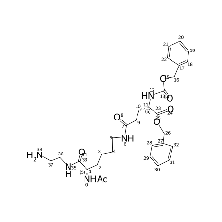 CC(=O)N[C@@H](CCCCNC(=O)CC[C@H](NC(=O)OCc1ccccc1)C(=O)OCc1ccccc1)C(=O)NCCN